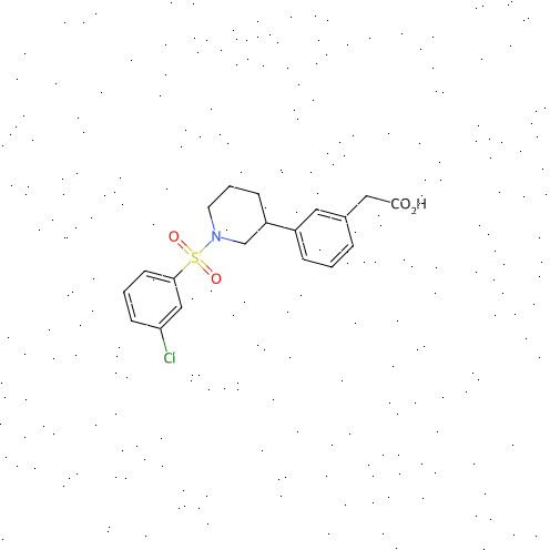 O=C(O)Cc1cccc(C2CCCN(S(=O)(=O)c3cccc(Cl)c3)C2)c1